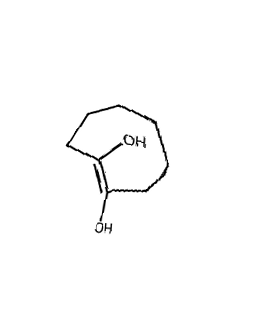 O/C1=C(/O)CCCCCC1